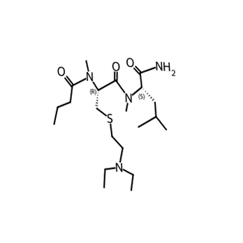 CCCC(=O)N(C)[C@@H](CSCCN(CC)CC)C(=O)N(C)[C@@H](CC(C)C)C(N)=O